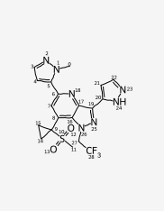 Cn1nccc1-c1cc(C2(S(C)(=O)=O)CC2)c2c(n1)c(-c1ccn[nH]1)nn2CC(F)(F)F